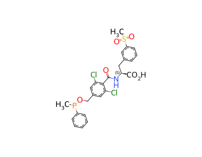 CP(OCc1cc(Cl)c(C(=O)N[C@@H](Cc2cccc(S(C)(=O)=O)c2)C(=O)O)c(Cl)c1)c1ccccc1